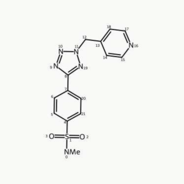 CNS(=O)(=O)c1ccc(-c2nnn(Cc3ccncc3)n2)cc1